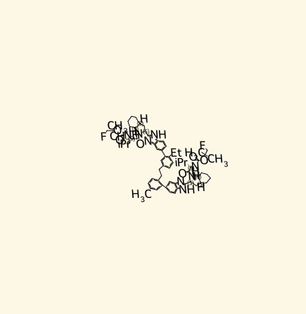 CCc1ccc(CCc2ccc(C)cc2-c2ccc3[nH]c([C@@H]4C[C@@H]5CCCC[C@@H]5N4C(=O)[C@@H](NC(=O)OC(C)(C)CF)C(C)C)nc3c2)cc1-c1ccc2[nH]c([C@@H]3C[C@@H]4CCCC[C@@H]4N3C(=O)[C@@H](NC(=O)OC(C)(C)CF)C(C)C)nc2c1